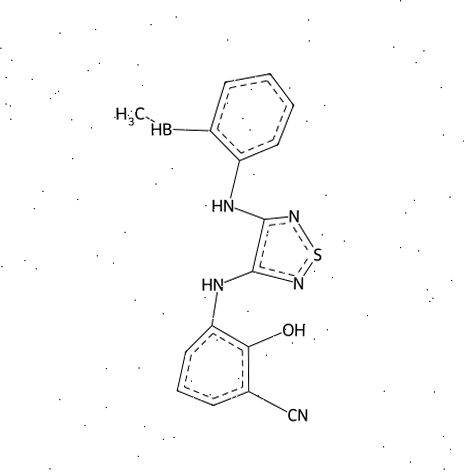 CBc1ccccc1Nc1nsnc1Nc1cccc(C#N)c1O